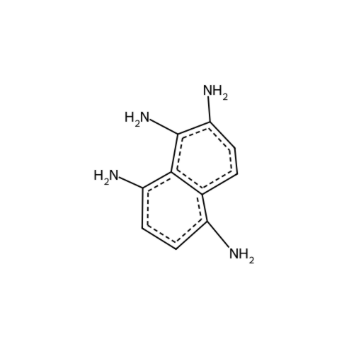 Nc1ccc2c(N)ccc(N)c2c1N